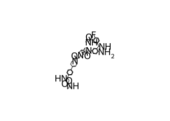 CNC(=O)OC(=N)c1ccc(C2=CCN(C(=O)CN3CC[C@]4(CCN(c5ccc(N)c(C(=N)c6ccc(F)c(C(=O)NC)c6)c5)C4=O)C3)CC2)cc1